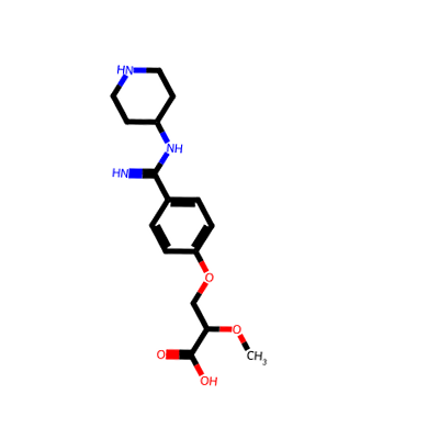 COC(COc1ccc(C(=N)NC2CCNCC2)cc1)C(=O)O